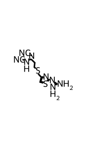 N#C/N=C(/CCSCc1csc(N=C(N)N)n1)NC#N